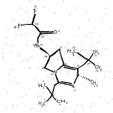 C[C@@H]1N=C(C(C)(C)C)N2C[C@@H](NC(=O)C(F)F)CC2=C1C(C)(C)C